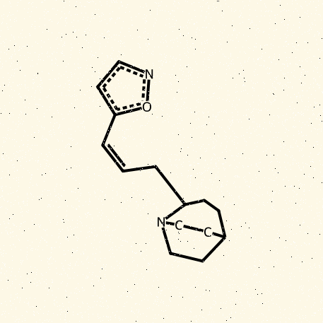 C(=C/c1ccno1)/CC1CCC2CCN1CC2